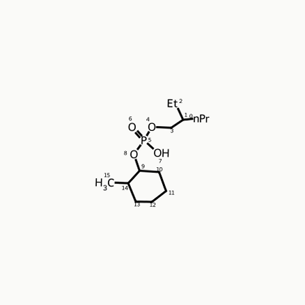 CCCC(CC)COP(=O)(O)OC1CCCCC1C